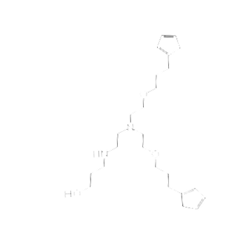 OCCCNCCN(CCOCCCC1=CC=CC1)CCOCCCC1=CC=CC1